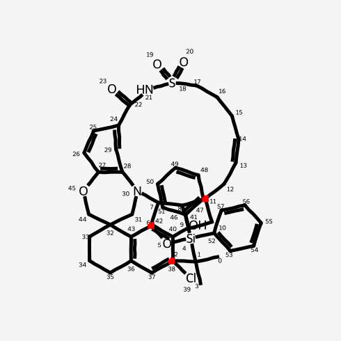 CC(C)(C)[Si](OCC1C2CCC2CC=CCCCS(=O)(=O)NC(=O)c2ccc3c(c2)N1CC1(CCCc2cc(Cl)c(O)cc21)CO3)(c1ccccc1)c1ccccc1